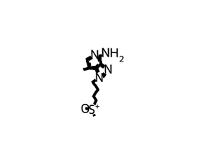 Cc1cnc(N)c2ncn(CCCC[S+](C)[O-])c12